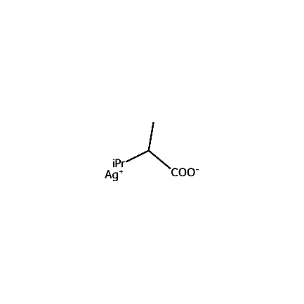 CC(C)C(C)C(=O)[O-].[Ag+]